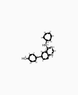 Oc1ccc(-c2ccc3ncnc(Nc4ccccc4)c3c2)cc1